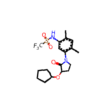 Cc1cc(C)c(N2CCC(OC3CCCC3)C2=O)cc1NS(=O)(=O)C(F)(F)F